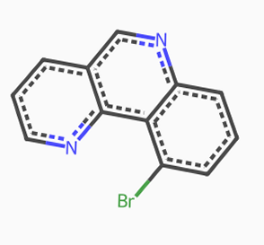 Brc1cccc2ncc3cccnc3c12